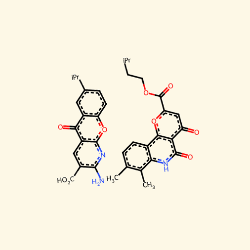 CC(C)c1ccc2oc3nc(N)c(C(=O)O)cc3c(=O)c2c1.Cc1ccc2c([nH]c(=O)c3c(=O)cc(C(=O)OCCC(C)C)oc32)c1C